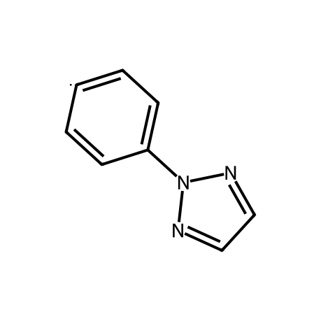 [c]1ccc(-n2nccn2)cc1